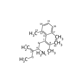 C=C(CC)C(N)CC(=C(C)C)c1c(C)cccc1C